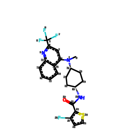 CN(c1cc(C(F)(F)F)nc2ccccc12)[C@H]1CC[C@@H](NC(=O)c2sccc2F)CC1